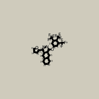 FC(F)(F)c1cc(Oc2nnc(-c3ccco3)c3cc4ccccc4cc23)cc(C(F)(F)F)c1C(F)(F)F